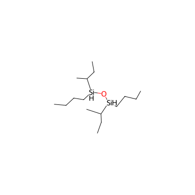 CCCC[SiH](O[SiH](CCCC)C(C)CC)C(C)CC